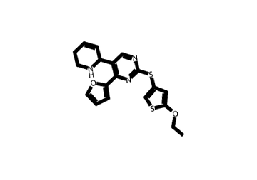 CCOc1cc(Sc2ncc(C3C=CCCN3)c(-c3ccco3)n2)cs1